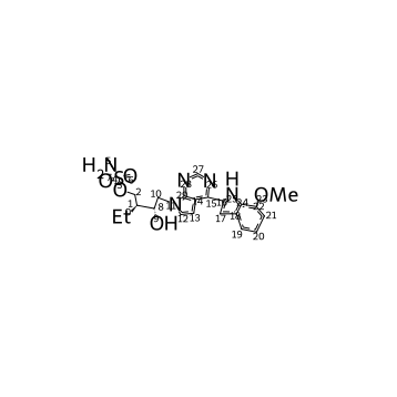 CC[C@@H](COS(N)(=O)=O)[C@@H](O)Cn1ccc2c(-c3cc4cccc(OC)c4[nH]3)ncnc21